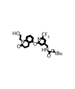 CC(C)(C)OC(=O)NCc1cc(Oc2cccc3c2CCC(=O)N3CCO)nc(C(F)(F)F)c1